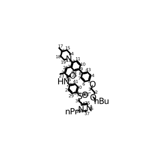 CCCCOCCOc1ccc(-c2ccc(N3CCC(C)CC3)c(C=C(C)C(=O)Nc3ccc([S@@+]([O-])Cc4cncn4CCC)cc3)c2)cc1